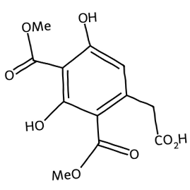 COC(=O)c1c(O)cc(CC(=O)O)c(C(=O)OC)c1O